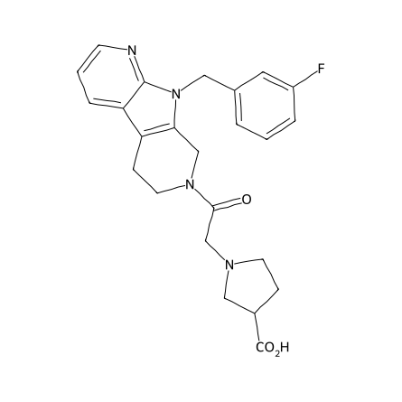 O=C(O)C1CCN(CC(=O)N2CCc3c(n(Cc4cccc(F)c4)c4ncccc34)C2)C1